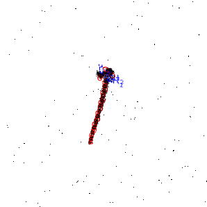 COCCOCCOCCOCCOCCOCCOCCOCCOCCOCCOCCOCCN(N)/C=C(\N)C(CC(=O)NC(C=O)C(C)C)N1C(=O)C=CC1=O